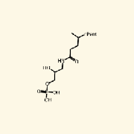 CCCCCC(C)CCC(=O)NCC(O)COP(=O)(O)O